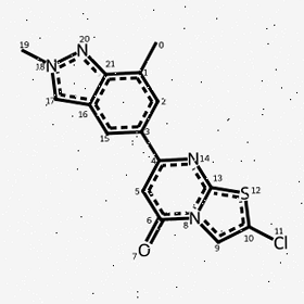 Cc1cc(-c2cc(=O)n3cc(Cl)sc3n2)cc2cn(C)nc12